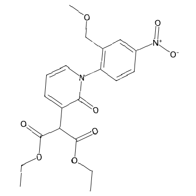 CCOC(=O)C(C(=O)OCC)c1cccn(-c2ccc([N+](=O)[O-])cc2COC)c1=O